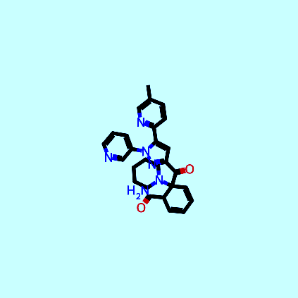 Cc1ccc(-c2cc(C(=O)C3(N4CCCCC4)C=CC=CC3C(N)=O)nn2-c2cccnc2)nc1